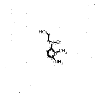 CCN(CCO)c1ccc(N)n1C